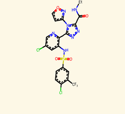 CCNC(=O)c1nnc(-c2ncc(Cl)cc2NS(=O)(=O)c2ccc(Cl)c(C(F)(F)F)c2)n1-c1ccon1